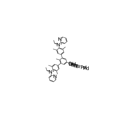 CC=[N+](c1ccccn1)c1c(C)cc(-c2cc(O)cc(-c3cc(C)c([N+](=CC)c4ccccn4)c(C)c3)c2C)cc1C.[Br-].[Br-].[Br-].[Br-].[Pd].[Pd]